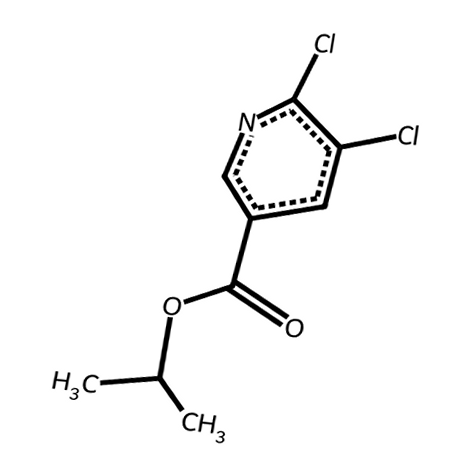 CC(C)OC(=O)c1cnc(Cl)c(Cl)c1